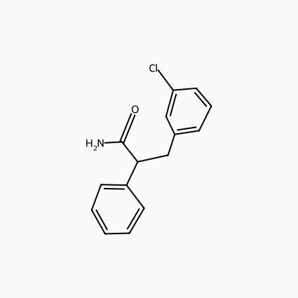 NC(=O)C(Cc1cccc(Cl)c1)c1ccccc1